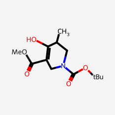 COC(=O)C1=C(O)C(C)CN(C(=O)OC(C)(C)C)C1